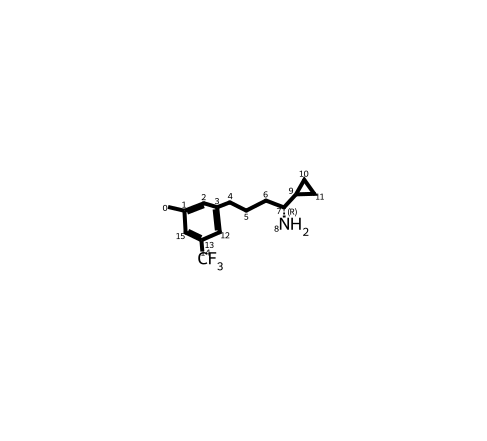 Cc1cc(CCC[C@@H](N)C2CC2)cc(C(F)(F)F)c1